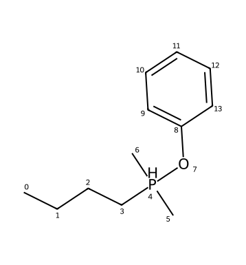 CCCC[PH](C)(C)Oc1ccccc1